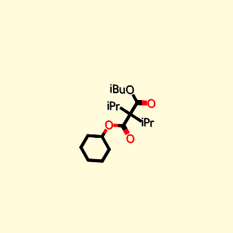 CC(C)COC(=O)C(C(=O)OC1CCCCC1)(C(C)C)C(C)C